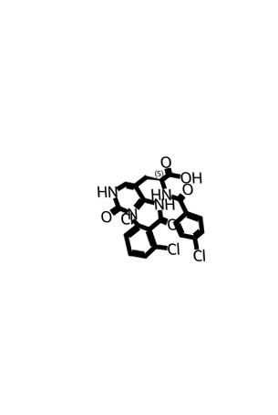 O=C(N[C@@H](Cc1c[nH]c(=O)nc1NC(=O)c1c(Cl)cccc1Cl)C(=O)O)c1ccc(Cl)cc1